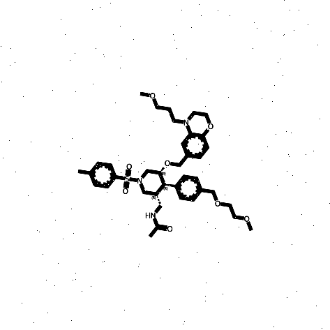 COCCCN1CCOc2ccc(CO[C@H]3CN(S(=O)(=O)c4ccc(C)cc4)C[C@@H](CNC(C)=O)[C@@H]3c3ccc(COCCOC)cc3)cc21